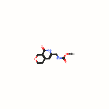 CC(C)(C)OC(=O)NCc1cc2c(c(=O)[nH]1)COCC2